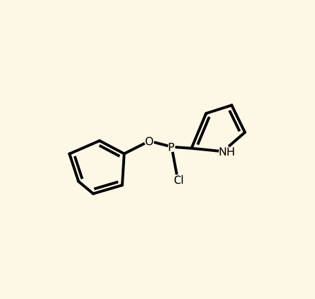 ClP(Oc1ccccc1)c1ccc[nH]1